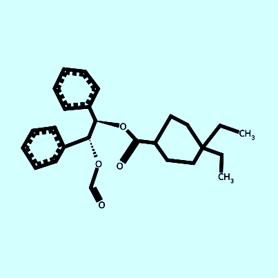 CCC1(CC)CCC(C(=O)O[C@H](c2ccccc2)[C@H](OC=O)c2ccccc2)CC1